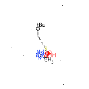 C[C@H](Cn1cnc2c(N)ncnc21)OCP(=O)(O)OCCSCCCCCCCCCC#Cc1ccc(C(C)(C)C)cc1